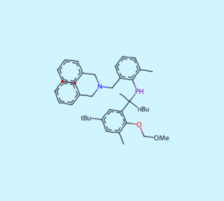 CCCCC(C)(Pc1c(C)cccc1CN(Cc1ccccc1)Cc1ccccc1)c1cc(C(C)(C)C)cc(C)c1OCOC